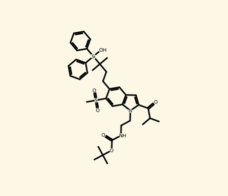 CC(C)C(=O)c1cc2cc(CCC(C)(C)[Si](O)(c3ccccc3)c3ccccc3)c(S(C)(=O)=O)cc2n1CCNC(=O)OC(C)(C)C